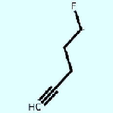 C#CCC[CH]F